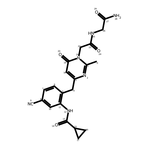 Cc1nc(Cc2ccc(C#N)cc2NC(=O)C2CC2)cc(=O)n1CC(=O)NCC(N)=O